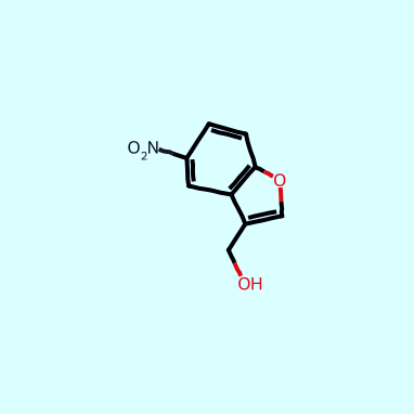 O=[N+]([O-])c1ccc2occ(CO)c2c1